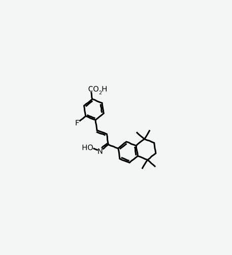 CC1(C)CCC(C)(C)c2cc(C(/C=C/c3ccc(C(=O)O)cc3F)=N/O)ccc21